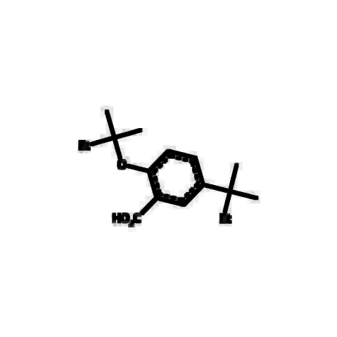 CCC(C)(C)Oc1ccc(C(C)(C)CC)cc1C(=O)O